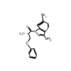 C[C@@H](COc1ccccc1)C(=O)n1nc(N)c2ccc(N)cc21